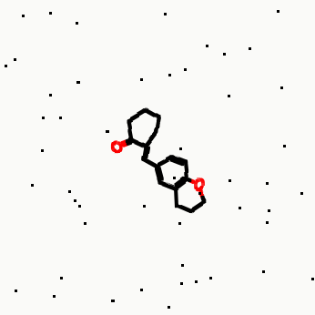 O=C1CCCCC1=Cc1ccc2c(c1)CCCO2